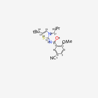 COc1ccc(C#N)cc1C(=O)N=c1sc(C(C)(C)C)cn1CC(C)C